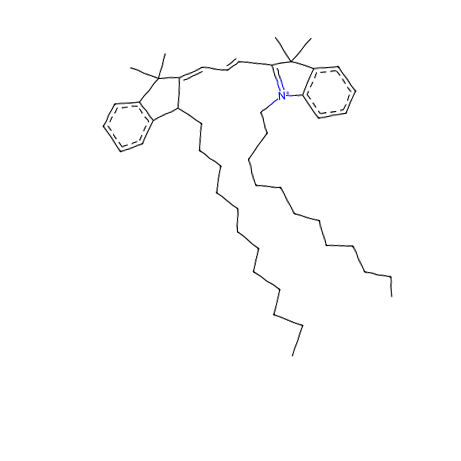 CCCCCCCCCCCCC1/C(=C\C=C\C2=[N+](CCCCCCCCCCCC)c3ccccc3C2(C)C)C(C)(C)c2ccccc21